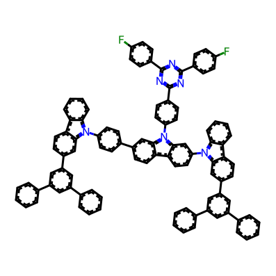 Fc1ccc(-c2nc(-c3ccc(F)cc3)nc(-c3ccc(-n4c5cc(-c6ccc(-n7c8ccccc8c8ccc(-c9cc(-c%10ccccc%10)cc(-c%10ccccc%10)c9)cc87)cc6)ccc5c5ccc(-n6c7ccccc7c7ccc(-c8cc(-c9ccccc9)cc(-c9ccccc9)c8)cc76)cc54)cc3)n2)cc1